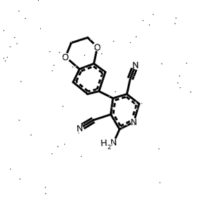 N#Cc1[c]nc(N)c(C#N)c1-c1ccc2c(c1)OCCO2